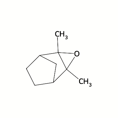 CC12OC1(C)C1CCC2C1